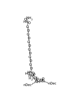 CCCCCCCCCCCCCCNC(=O)OC[C@H](CSC[C@H](N)C(=O)N[C@@H](CO)C(=O)NCCOCCOCCOCCOCCOCCOCCOCCOCCOCCOCCOCCOCCC(=O)NCC(N)=O)OC(=O)NCCCCCCCCCCCCCC